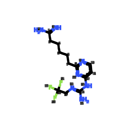 N=C(N)CCCCCc1nccc(NC(N)=NCC(F)(F)F)n1